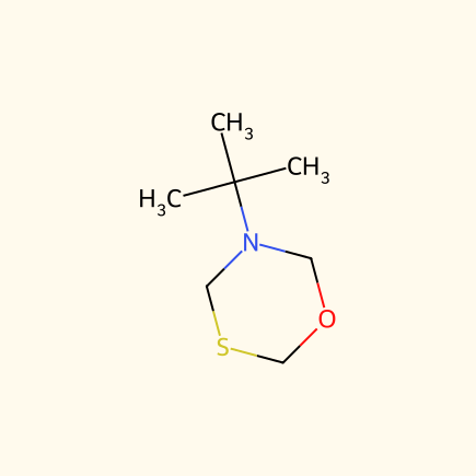 CC(C)(C)N1COCSC1